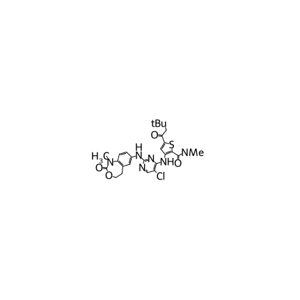 CNC(=O)c1sc(C(=O)CC(C)(C)C)cc1Nc1nc(Nc2ccc3c(c2)CCOC(=O)N3C)ncc1Cl